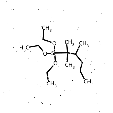 CCCC(C)C(C)(C)[Si](OCC)(OCC)OCC